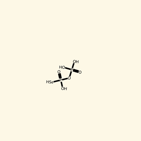 O=P(O)(O)OP(=O)(O)[SeH]